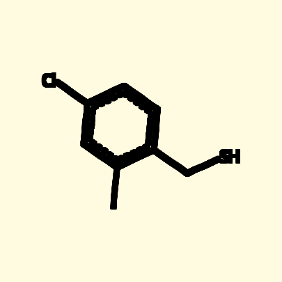 Cc1cc(Cl)ccc1CS